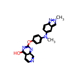 CN(c1ccc(Oc2nc(O)c3ccncc3n2)cc1)c1ccc2nn(C)cc2c1